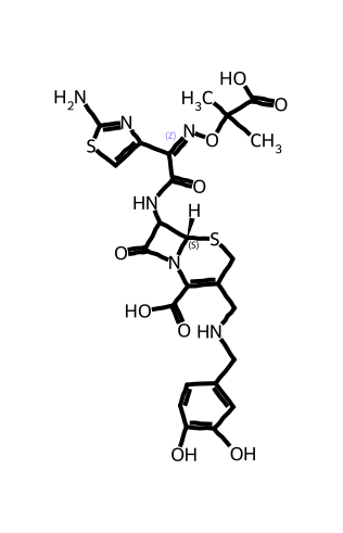 CC(C)(O/N=C(\C(=O)NC1C(=O)N2C(C(=O)O)=C(CNCc3ccc(O)c(O)c3)CS[C@@H]12)c1csc(N)n1)C(=O)O